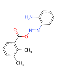 Cc1cccc(C(=O)ON=Nc2ccccc2N)c1C